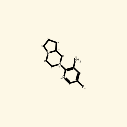 Nc1cc(F)cnc1N1CCN2CCCC2C1